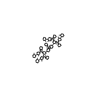 Cc1ccccc1-c1ccc(N(c2ccccc2)c2cc(-c3ccc4c5ccc(-c6cc(N(c7ccccc7)c7ccc(-c8ccccc8C)c(C)c7)cc(N(c7ccccc7)c7ccc(-c8ccccc8C)c(C)c7)c6)cc5n(-c5ccccc5)c4c3)cc(N(c3ccccc3)c3ccc(-c4ccccc4C)c(C)c3)c2)cc1C